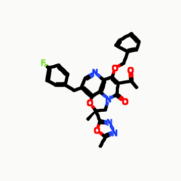 CC(=O)c1c(OCc2ccccc2)c2ncc(Cc3ccc(F)cc3)c3c2n(c1=O)C[C@](C)(c1nnc(C)o1)O3